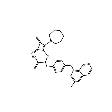 Cc1cc2ccncc2c(Oc2ccc(CC(Nc3c(N4CCCCCC4)c(=O)c3=O)C(=O)O)cc2)n1